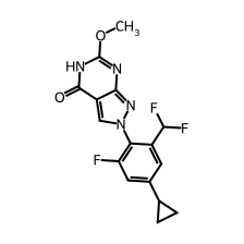 COc1nc2nn(-c3c(F)cc(C4CC4)cc3C(F)F)cc2c(=O)[nH]1